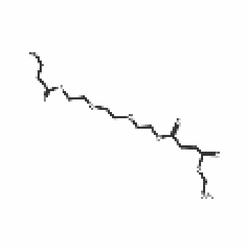 CC(=O)CCC(=O)OCCOCCOCCOC(=O)CCC(=O)OCOC(C)=O